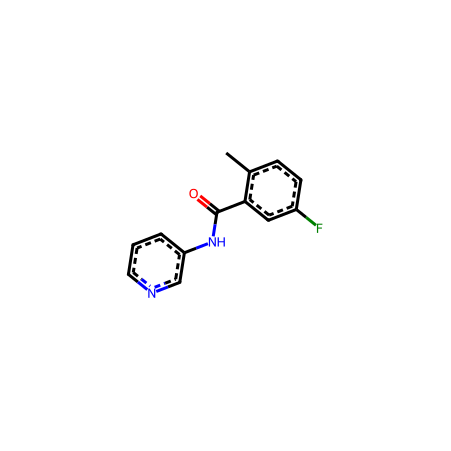 Cc1ccc(F)cc1C(=O)Nc1cccnc1